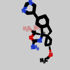 BC1(B)OC(N)=N[C@]12c1cc(-c3cncnc3)ccc1C[C@]21CC[C@@H](OC)CC1